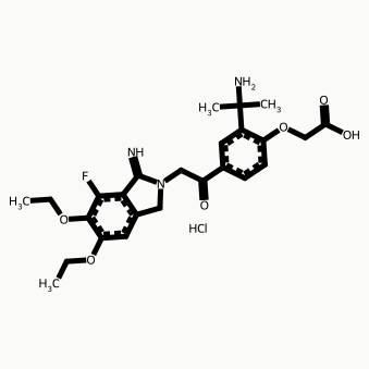 CCOc1cc2c(c(F)c1OCC)C(=N)N(CC(=O)c1ccc(OCC(=O)O)c(C(C)(C)N)c1)C2.Cl